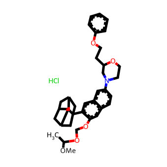 COC(C)OCOc1cc2ccc(N3CCOC(CCOc4ccccc4)C3)cc2cc1C12CC3CC(CC(C3)C1)C2.Cl